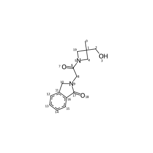 CC1(CO)CN(C(=O)CN2Cc3ccccc3C2=O)C1